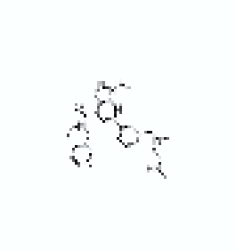 CCN(Cc1cccnc1)C(=O)c1cc(-c2cccc(CN(C)CCNC)c2)nc2c1cnn2C(C)C